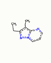 CCc1nn2cccnc2c1C